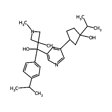 CC(C)c1ccc(C(O)(c2cncc(C3CCC(O)(C(C)C)C3)c2)C2(C)CN(C)C2)cc1